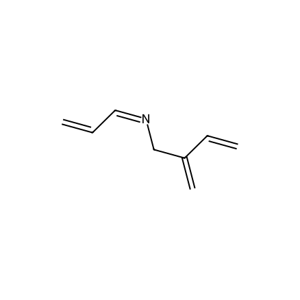 C=C/C=N\CC(=C)C=C